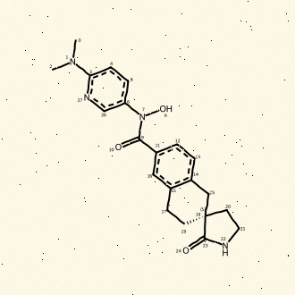 CN(C)c1ccc(N(O)C(=O)c2ccc3c(c2)CC[C@@]2(CCNC2=O)C3)cn1